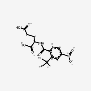 O=C(O)CCC(NC(=O)c1ncc([N+](=O)[O-])cc1C(F)(F)F)C(=O)O